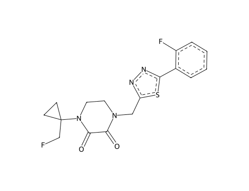 O=C1C(=O)N(C2(CF)CC2)CCN1Cc1nnc(-c2ccccc2F)s1